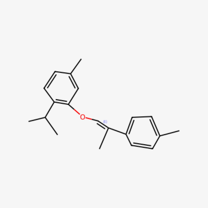 C/C(=C\Oc1cc(C)ccc1C(C)C)c1ccc(C)cc1